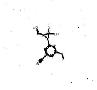 CCc1cc(C#N)cc(C2C(C=O)C2(Cl)Cl)c1